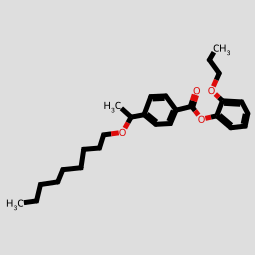 CCCCCCCCCOC(C)c1ccc(C(=O)Oc2ccccc2OCCC)cc1